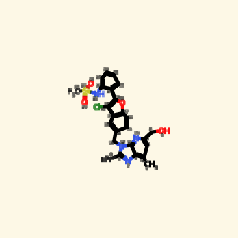 CCCc1nc2c(C)cc(CO)nc2n1Cc1ccc2oc(-c3ccccc3NS(=O)(=O)C(F)(F)F)c(Cl)c2c1